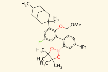 COCOc1c(-c2ccc(C(C)C)cc2B2OC(C)(C)C(C)(C)O2)cc(F)cc1C1(C)CC2CC(C)CC(C2)C1